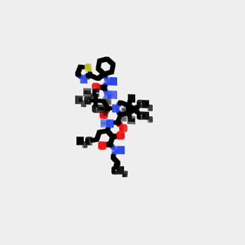 C=CCNC(=O)C(=O)C(CCC)NC(=O)[C@@H]1[C@@H]2[C@H](CN1C(=O)[C@@H](NC(=O)NC1(CC3=NCCS3)CCCCC1)C(C)(C)C)C2(C)C